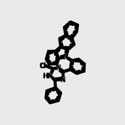 ClC1N=C(c2ccccc2-n2c3ccccc3c3cc4ccccc4cc32)N=C(c2ccccc2)N1